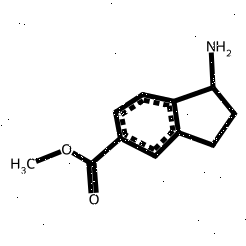 COC(=O)c1ccc2c(c1)CCC2N